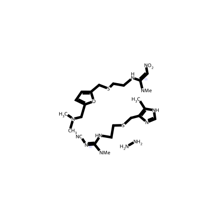 CN/C(=C/[N+](=O)[O-])NCCSCc1ccc(CN(C)C)o1.CN/C(=N/C#N)NCCSCc1nc[nH]c1C.NN